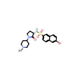 CC(C)N1CCC(N2CC[C@H](NS(=O)(=O)c3ccc4cc(Br)ccc4c3)C2=O)CC1